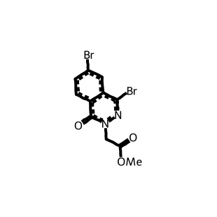 COC(=O)Cn1nc(Br)c2cc(Br)ccc2c1=O